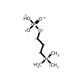 C[N+](C)(C)CCCOP([O])(=O)O